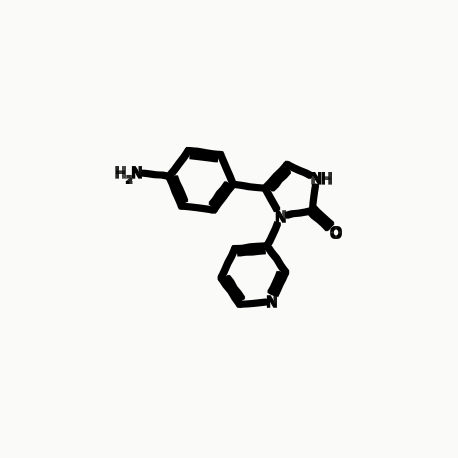 Nc1ccc(-c2c[nH]c(=O)n2-c2cccnc2)cc1